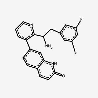 NC(Cc1cc(F)cc(F)c1)c1ncccc1-c1ccc2ccc(=O)[nH]c2c1